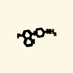 NC1CCN(c2ccc(F)c3cccnc23)CC1